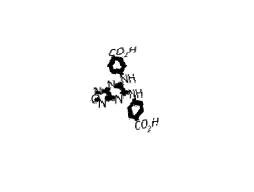 O=C(O)c1ccc(Nc2nc3nonc3nc2Nc2ccc(C(=O)O)cc2)cc1